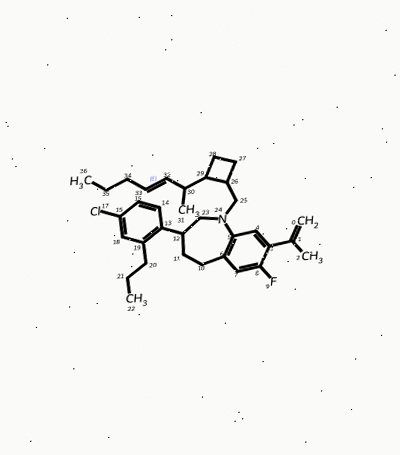 C=C(C)c1cc2c(cc1F)CCC(c1ccc(Cl)cc1CCC)CN2CC1CCC1C(C)/C=C/CCC